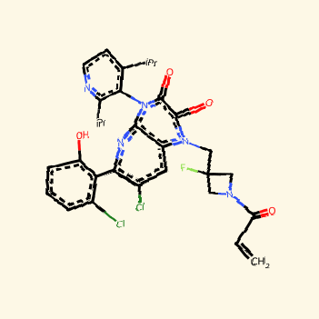 C=CC(=O)N1CC(F)(Cn2c(=O)c(=O)n(-c3c(C(C)C)ccnc3C(C)C)c3nc(-c4c(O)cccc4Cl)c(Cl)cc32)C1